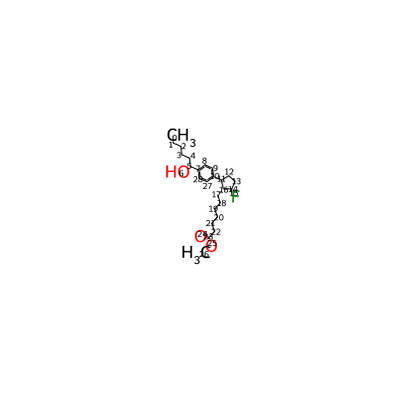 CCCCCC(O)c1ccc(C2CC[C@@H](F)[C@@H]2CCCCCCC(=O)OC)cc1